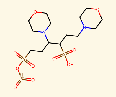 O=[SH](=O)OS(=O)(=O)CCC(C(CCN1CCOCC1)S(=O)(=O)O)N1CCOCC1